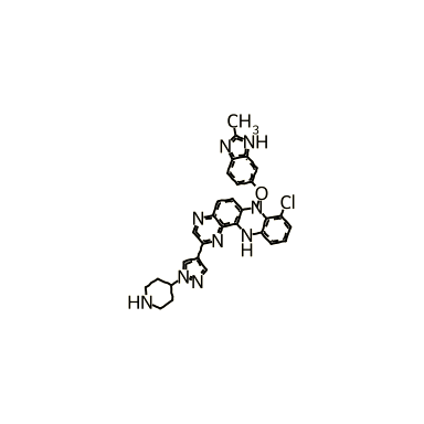 Cc1nc2ccc(ON3c4ccc5ncc(-c6cnn(C7CCNCC7)c6)nc5c4Nc4cccc(Cl)c43)cc2[nH]1